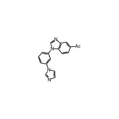 CC(=O)c1ccc2c(c1)ncn2-c1cccc(-n2ccnc2)c1